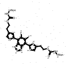 CCCCCCCCCNC(=O)OCCc1csc(-c2c(F)c(F)c(-c3nc(CCOC(=O)NCCCCCCCCC)cs3)c3nsnc23)c1